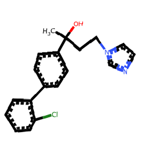 CC(O)(CCn1ccnc1)c1ccc(-c2ccccc2Cl)cc1